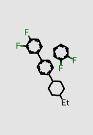 CCC1CCC(c2ccc(-c3ccc(F)c(F)c3)cc2)CC1.Fc1ccccc1F